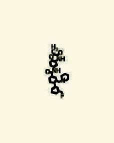 CC1Oc2ccc(NC(=O)c3ccc(-c4cccc(CF)c4)c(CN4CCCCC4)c3)cc2NC1=O